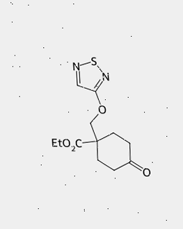 CCOC(=O)C1(COc2cnsn2)CCC(=O)CC1